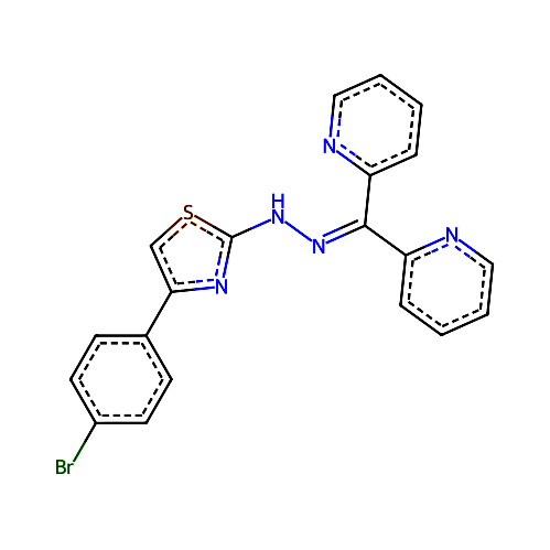 Brc1ccc(-c2csc(NN=C(c3ccccn3)c3ccccn3)n2)cc1